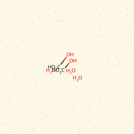 O.O.O.O=C(O)O.O=C(O)O